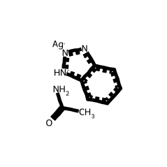 CC(N)=O.[Ag].c1ccc2[nH]nnc2c1